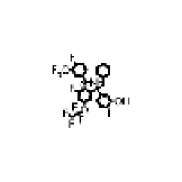 O=C(NC(Cc1ccccc1)(c1cc(F)cc(OC(F)(F)C(F)F)c1)c1ccc(F)c(O)c1)c1ccc(F)c(C(F)(F)F)c1